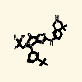 CC(C)(C)c1cccc(-n2c3nc(Nc4ccc5c(c4)CNCC5(C)C)ncc3c(=O)n2CC(F)(F)F)n1